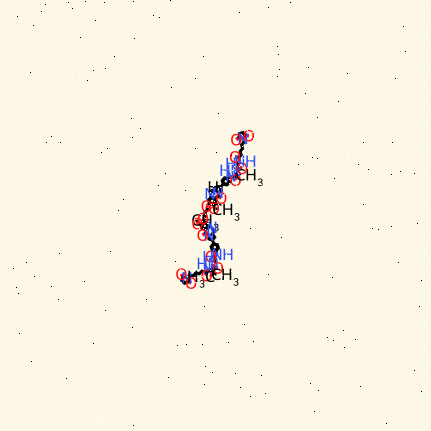 COc1cc2c(cc1OCCCOc1cc3c(cc1OC)C(=O)N1C=C(c4ccc(NC(=O)[C@H](C)NC(=O)CNC(=O)CCCCCN5C(=O)C=CC5=O)cc4)C[C@H]1C=N3)N=CC1CC(c3ccc(NC(=O)CNC(=O)C(NC(=O)CCCCCN4C(=O)C=CC4=O)C(C)C)cc3)=CN1C2=O